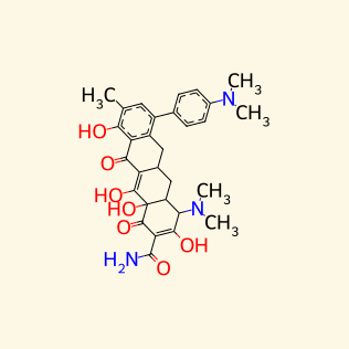 Cc1cc(-c2ccc(N(C)C)cc2)c2c(c1O)C(=O)C1=C(O)C3(O)C(=O)C(C(N)=O)=C(O)C(N(C)C)C3CC1C2